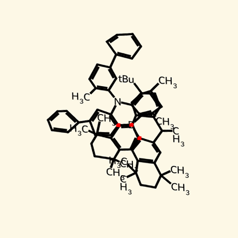 Cc1cc(C)c2c(c1)N(c1cc(-c3ccccc3)ccc1C)c1cc(-c3ccccc3)ccc1B2c1cc2c(cc1C(C)c1ccc(C(C)(C)C)cc1-c1ccc3c(c1)C(C)(C)CCC3(C)C)C(C)(C)CCC2(C)C